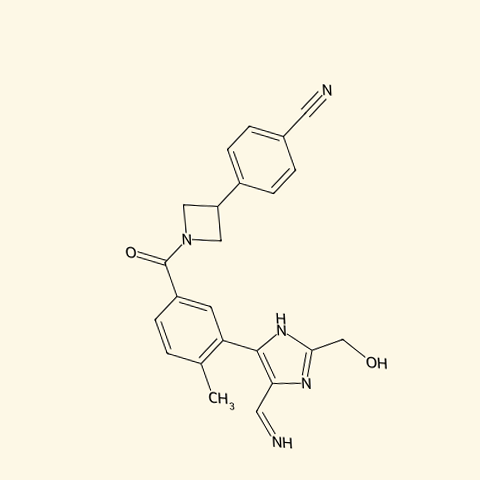 Cc1ccc(C(=O)N2CC(c3ccc(C#N)cc3)C2)cc1-c1[nH]c(CO)nc1C=N